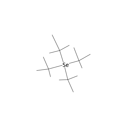 CC(C)(C)[Se](C(C)(C)C)(C(C)(C)C)C(C)(C)C